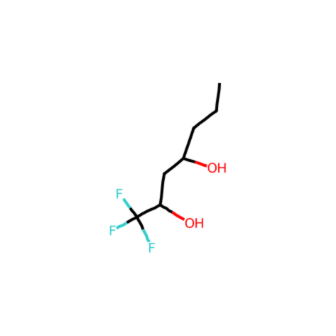 CCCC(O)CC(O)C(F)(F)F